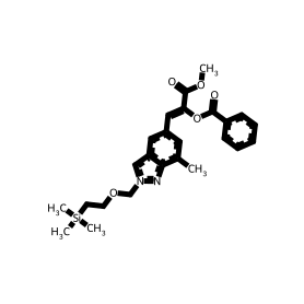 COC(=O)/C(=C/c1cc(C)c2nn(COCC[Si](C)(C)C)cc2c1)OC(=O)c1ccccc1